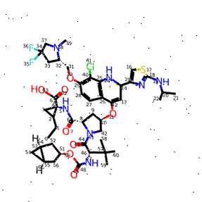 CCC1C[C@]1(NC(=O)[C@@H]1C[C@@H](OC2=CC(c3csc(NC(C)C)n3)Nc3c2ccc(OC[C@@H]2CC(F)(F)CN2C)c3Cl)CN1C(=O)[C@@H](NC(=O)O[C@@H]1C[C@@H]2C[C@@H]2C1)C(C)(C)C)C(=O)O